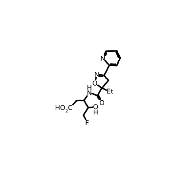 CCC1(C(=O)NC(CC(=O)O)C(O)CF)CC(c2ccccn2)=NO1